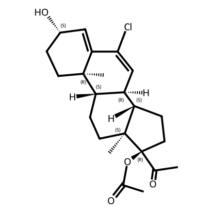 CC(=O)O[C@]1(C(C)=O)CC[C@H]2[C@@H]3C=C(Cl)C4=C[C@@H](O)CC[C@]4(C)[C@H]3CC[C@@]21C